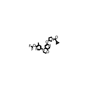 Cc1cc(N2CCOc3cnc(OC4CCN(C(=O)C5CC5)C4)cc32)cnc1OC(F)F